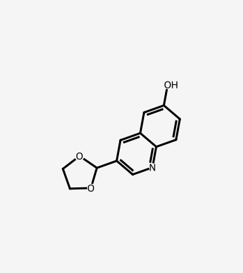 Oc1ccc2ncc(C3OCCO3)cc2c1